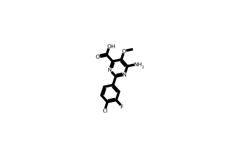 COc1c(N)nc(-c2ccc(Cl)c(F)c2)nc1C(=O)O